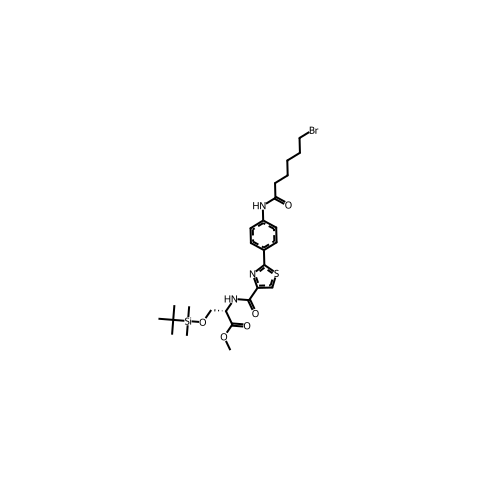 COC(=O)[C@H](CO[Si](C)(C)C(C)(C)C)NC(=O)c1csc(-c2ccc(NC(=O)CCCCCBr)cc2)n1